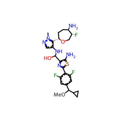 COC(c1cc(F)c(-c2nc(C(O)Nc3cnn(C)c3[C@@H]3CC[C@@H](N)[C@H](F)CO3)c(N)s2)c(F)c1)C1CC1